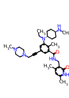 CCN(c1cc(C#CCN2CCN(C)CC2)cc(C(=O)NCc2c(C)cc(C)[nH]c2=O)c1C)[C@H]1CC[C@H](NC)CC1